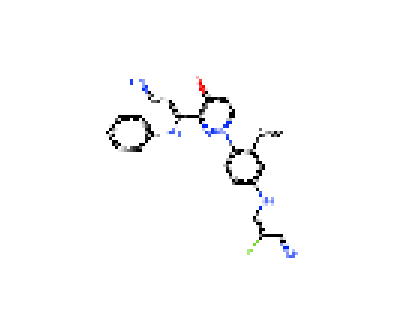 COc1cc(N/C=C(/F)C=N)ccc1-n1ccc(=O)c(/C(=C/C=N)Nc2ccccc2)n1